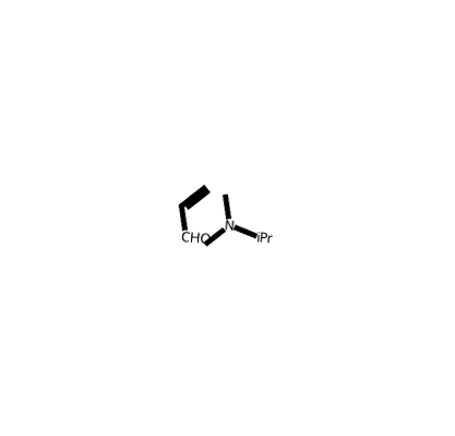 C=CC=O.CC(C)N(C)C